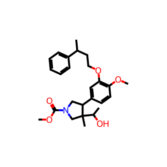 COC(=O)N1CC(c2ccc(OC)c(OCCC(C)c3ccccc3)c2)C(C)(C(C)O)C1